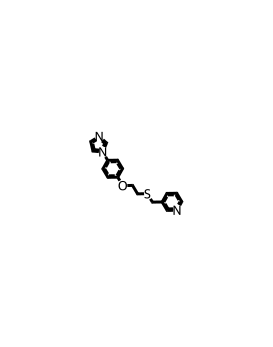 c1cncc(CSCCOc2ccc(-n3ccnc3)cc2)c1